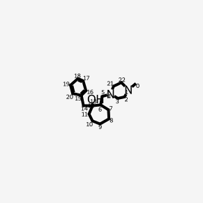 CN1CCN(CC2CCCCCC2(O)Cc2ccccc2)CC1